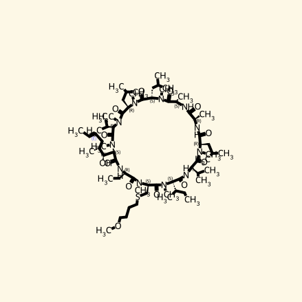 C/C=C/C[C@@H](C)[C@@H](O)[C@H]1C(=O)N[C@H](CC)C(=O)N(C)[C@H](CSCCCCOC)C(=O)N(C)[C@@H](C(C)CC)C(=O)N[C@H](C(C)C)C(=O)N(C)[C@H](CC(C)C)C(=O)N[C@H](C)C(=O)N[C@@H](C)C(=O)N(C)[C@@H](CC(C)C)C(=O)N(C)[C@H](CC(C)C)C(=O)N(C)[C@H](C(C)C)C(=O)N1C